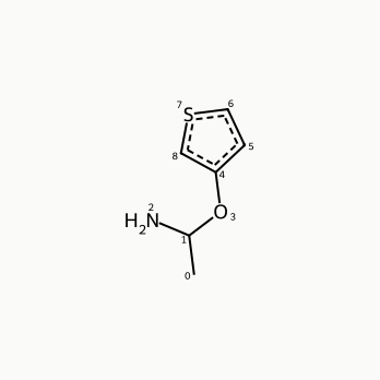 CC(N)Oc1ccsc1